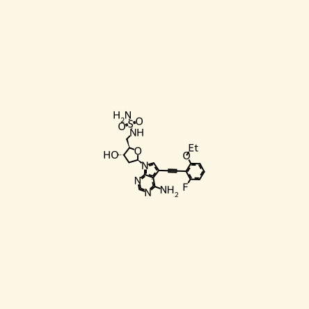 CCOc1cccc(F)c1C#Cc1cn([C@H]2C[C@H](O)[C@@H](CNS(N)(=O)=O)O2)c2ncnc(N)c12